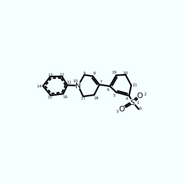 CS(=O)(=O)C1=CC(C2=CCN(c3ccccc3)CC2)=CCC1